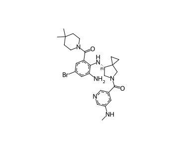 CNc1cncc(C(=O)N2C[C@H](Nc3c(N)cc(Br)cc3C(=O)N3CCC(C)(C)CC3)C3(CC3)C2)c1